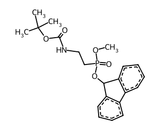 COP(=O)(CCNC(=O)OC(C)(C)C)OC1c2ccccc2-c2ccccc21